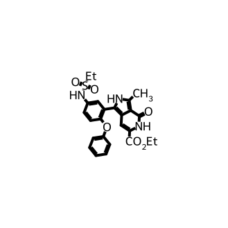 CCOC(=O)c1cc2c(-c3cc(NS(=O)(=O)CC)ccc3Oc3ccccc3)[nH]c(C)c2c(=O)[nH]1